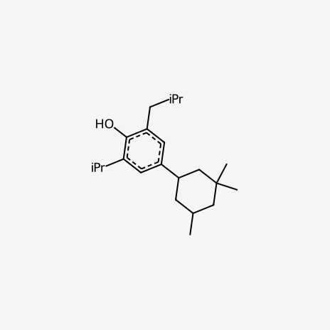 CC(C)Cc1cc(C2CC(C)CC(C)(C)C2)cc(C(C)C)c1O